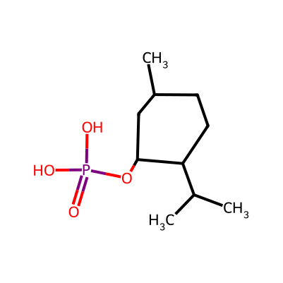 CC1CCC(C(C)C)C(OP(=O)(O)O)C1